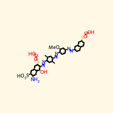 COc1cc(N=Nc2ccc3ccc(SOOO)cc3c2)ccc1N=Nc1cc(C)c(N=Nc2c(SOOO)cc3cc(S(=O)(=O)O)c(N)cc3c2O)cc1C